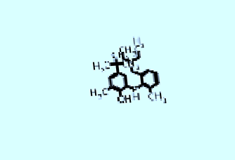 CCN(CC)Cc1cccc(C)c1Pc1cc(C(C)(C)C)cc(C)c1O